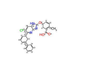 CC1=C(C(=O)O)CC(OC2=NC3N=C(C4C=CC=C(c5ccccc5)C4)C(Cl)=CC3N2)C=C1